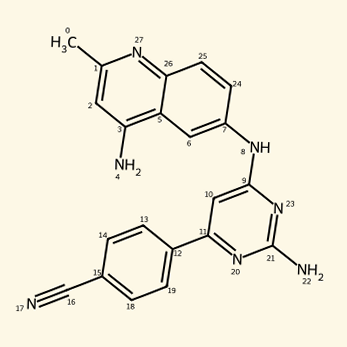 Cc1cc(N)c2cc(Nc3cc(-c4ccc(C#N)cc4)nc(N)n3)ccc2n1